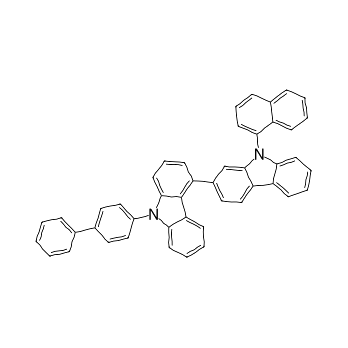 c1ccc(-c2ccc(-n3c4ccccc4c4c(-c5ccc6c7ccccc7n(-c7cccc8ccccc78)c6c5)cccc43)cc2)cc1